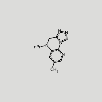 CCCN1Cc2nncn2-c2ncc(C)cc21